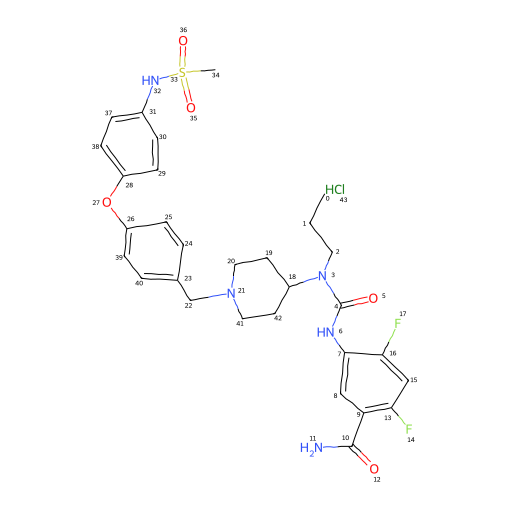 CCCN(C(=O)Nc1cc(C(N)=O)c(F)cc1F)C1CCN(Cc2ccc(Oc3ccc(NS(C)(=O)=O)cc3)cc2)CC1.Cl